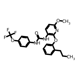 CCCc1ccccc1Oc1nc(OC)ccc1NC(=O)Nc1ccc(OC(F)(F)F)cc1